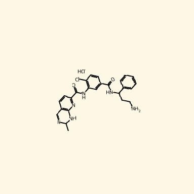 CC1N=Cc2ccc(C(=O)Nc3cc(C(=O)NC(CCN)c4ccccc4)ccc3Cl)nc2N1.Cl